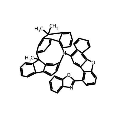 CC1(C)c2cc3ccc2-c2c(cccc21)N(c1cc2c(oc4cccc(-c5nc6ccccc6o5)c42)c2ccccc12)c1ccc2c(c1)C3(C)c1ccccc1-2